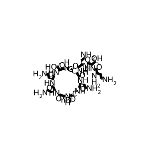 CCC[C@@H]1NC(=O)CNC(=O)[C@H](CCN)NC(=O)[C@@H](NC(=O)[C@H](CCN)NC(=O)[C@@H](NC(=O)[C@@H](N)CCN)[C@@H](C)O)CCNC(=O)[C@H]([C@@H](C)O)NC(=O)[C@H](CCN)NC(=O)[C@H](CCN)NC1=O